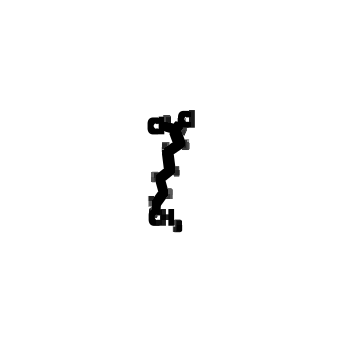 CCCCC=CC=C(Cl)Cl